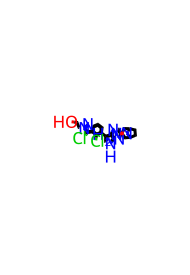 NC1CC2CCC(C1)N2c1cnc2c(-c3ccc4nn(CCO)c(Cl)c4c3Cl)c[nH]c2n1